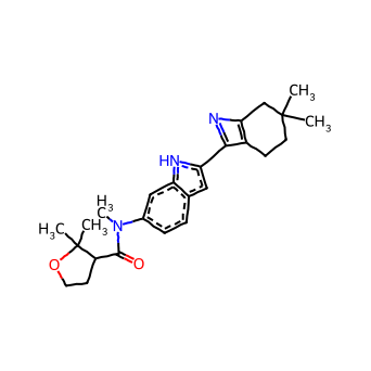 CN(C(=O)C1CCOC1(C)C)c1ccc2cc(C3=NC4=C3CCC(C)(C)C4)[nH]c2c1